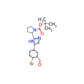 CC(C)(C)OC(=O)N1CCCC1c1ncc(-c2ccc(Br)c(C=O)c2)[nH]1